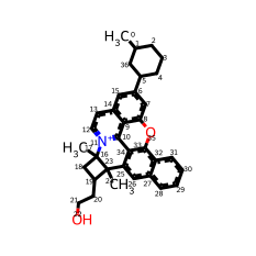 CC1CCCC(c2cc3c4c5[n+](ccc4c2)C2(C)CC(CCO)C2(C)c2cc4ccccc4c(c2-5)O3)C1